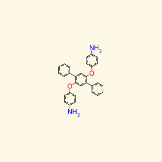 Nc1ccc(Oc2cc(-c3ccccc3)c(Oc3ccc(N)cc3)cc2-c2ccccc2)cc1